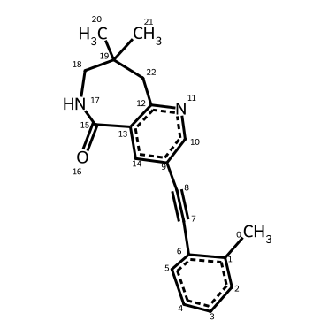 Cc1ccccc1C#Cc1cnc2c(c1)C(=O)NCC(C)(C)C2